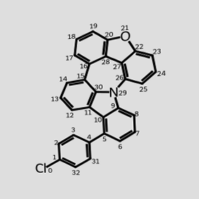 Clc1ccc(-c2cccc3c2c2cccc4c5cccc6oc7cccc(c7c65)n3c42)cc1